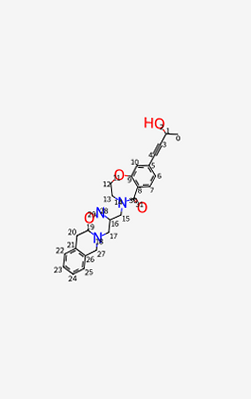 CC(O)C#Cc1ccc2c(c1)OCCN(CC(CN1CCc3ccccc3C1)N=O)C2=O